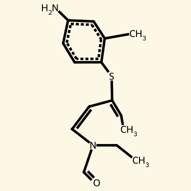 C/C=C(\C=C/N(C=O)CC)Sc1ccc(N)cc1C